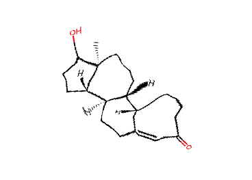 C[C@]12CC[C@H]3[C@@H](CCC4=CC(=O)CC[C@H]43)[C@@H]1CCC2O